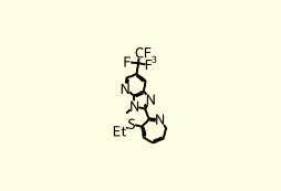 CCSC1=CC=CCN=C1c1nc2cc(C(F)(F)C(F)(F)F)cnc2n1C